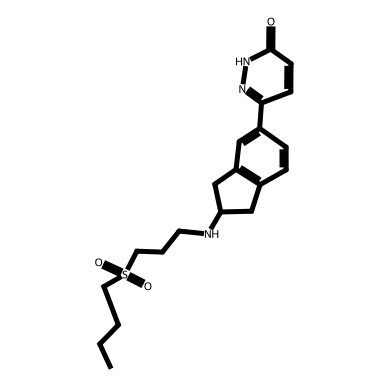 CCCCS(=O)(=O)CCCNC1Cc2ccc(-c3ccc(=O)[nH]n3)cc2C1